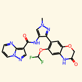 Cn1cc(NC(=O)c2cnn3cccnc23)c(-c2cc3c(cc2OC(F)F)NC(=O)CO3)n1